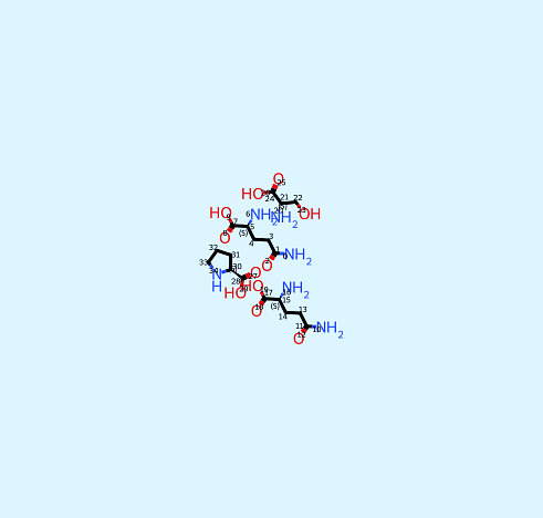 NC(=O)CC[C@H](N)C(=O)O.NC(=O)CC[C@H](N)C(=O)O.N[C@@H](CO)C(=O)O.O=C(O)[C@@H]1CCCN1